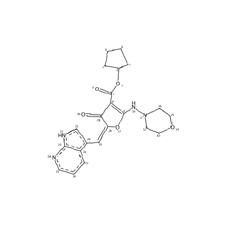 O=C(OC1CCCC1)C1=C(NN2CCOCC2)OC(=Cc2c[nH]c3ncccc23)C1=O